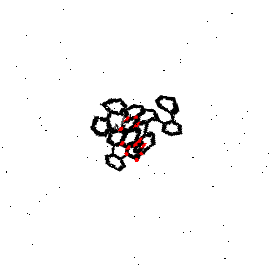 c1ccc(-c2ccccc2-c2ccc3c(c2-c2ccccc2)c2c(-c4ccccc4)c(-c4ccccc4-c4ccccc4)ccc2n3-c2ccccc2-c2ccccc2-n2c3ccccc3c3ccccc32)cc1